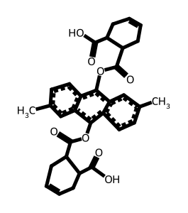 Cc1ccc2c(OC(=O)C3CC=CCC3C(=O)O)c3cc(C)ccc3c(OC(=O)C3CC=CCC3C(=O)O)c2c1